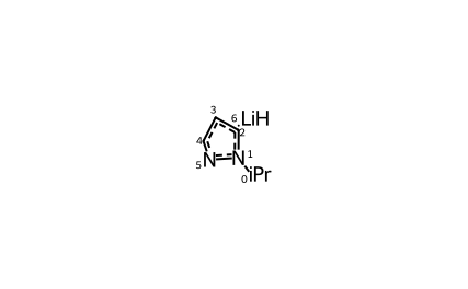 CC(C)n1[c]ccn1.[LiH]